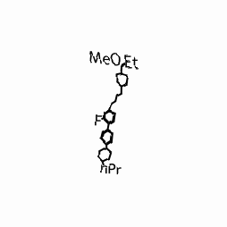 CCCC1CCC(c2ccc(-c3ccc(CCCCC4CCC(C(CC)OC)CC4)cc3F)cc2)CC1